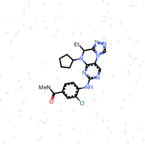 CCC1c2nncn2-c2cnc(Nc3ccc(C(=O)NC)cc3Cl)nc2N1C1CCCC1